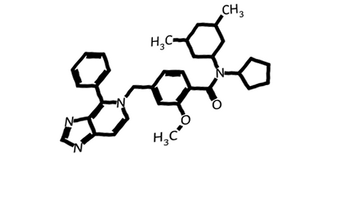 COc1cc(Cn2ccc3ncnc-3c2-c2ccccc2)ccc1C(=O)N(C1CCCC1)C1CC(C)CC(C)C1